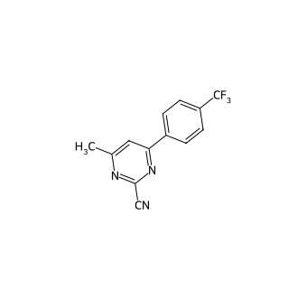 Cc1cc(-c2ccc(C(F)(F)F)cc2)nc(C#N)n1